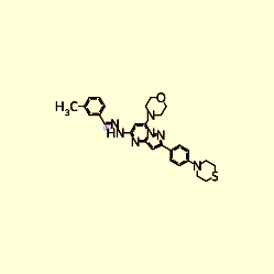 Cc1cccc(/C=N/Nc2cc(N3CCOCC3)n3nc(-c4ccc(N5CCSCC5)cc4)cc3n2)c1